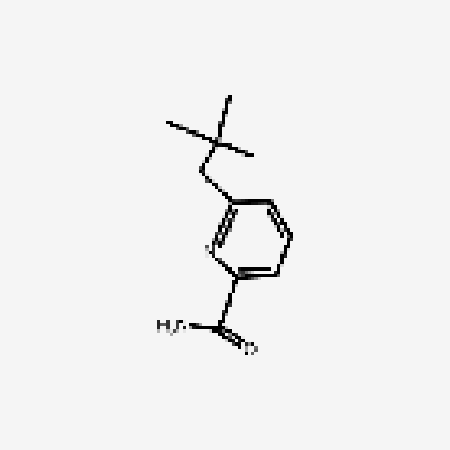 CC(C)(C)Cc1cccc(C(N)=O)n1